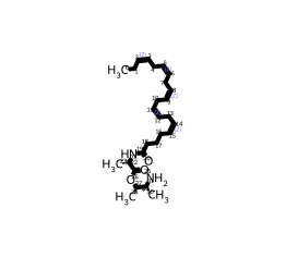 CC/C=C\C/C=C\C/C=C\C/C=C\C/C=C\CCCC(=O)N[C@@H](C)C(=O)O[C@H](C)[C@@H](C)N